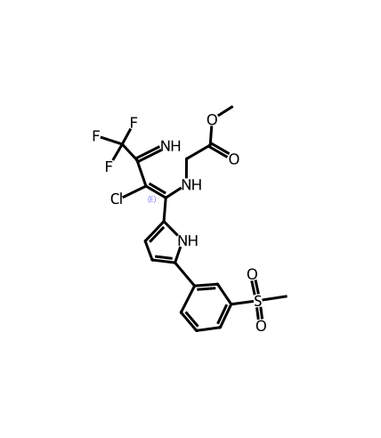 COC(=O)CN/C(=C(/Cl)C(=N)C(F)(F)F)c1ccc(-c2cccc(S(C)(=O)=O)c2)[nH]1